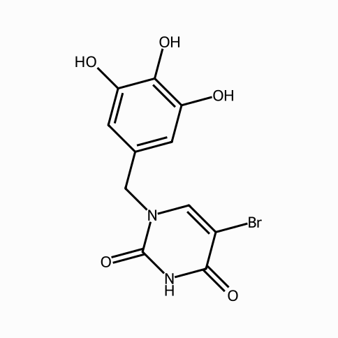 O=c1[nH]c(=O)n(Cc2cc(O)c(O)c(O)c2)cc1Br